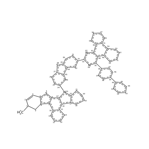 CC1C=Cc2sc3c(c2C1)c1ccccc1c1c2ccccc2n(-c2ccc4sc5ccc(-c6nc(-c7ccc(-c8ccccc8)cc7)c7c8ccccc8c8ccccc8c7n6)cc5c4c2)c31